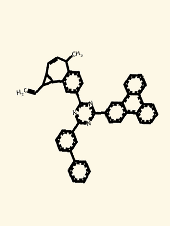 C=CC1C2C=CC(C)c3ccc(-c4nc(-c5cccc(-c6ccccc6)c5)nc(-c5ccc6c7ccccc7c7ccccc7c6c5)n4)cc3C12